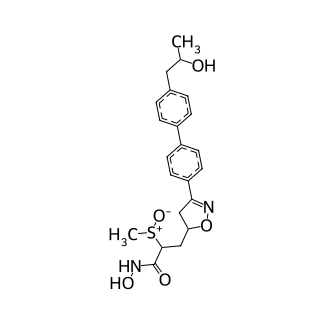 CC(O)Cc1ccc(-c2ccc(C3=NOC(CC(C(=O)NO)[S+](C)[O-])C3)cc2)cc1